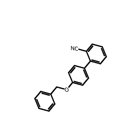 N#Cc1ccccc1-c1ccc(OCc2ccccc2)cc1